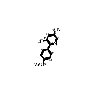 COc1ccc(-c2ncc(C#N)cc2F)cc1